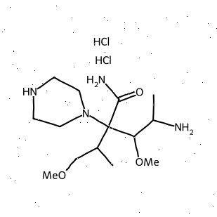 COCC(C)C(C(N)=O)(C(OC)C(C)N)N1CCNCC1.Cl.Cl